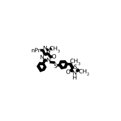 C=c1[nH]c(=O)/c(=C(/C)c2ccc(SCCn3c(-c4ccccc4)nc4c(CCC)nn(C)c4c3=O)cc2)s1